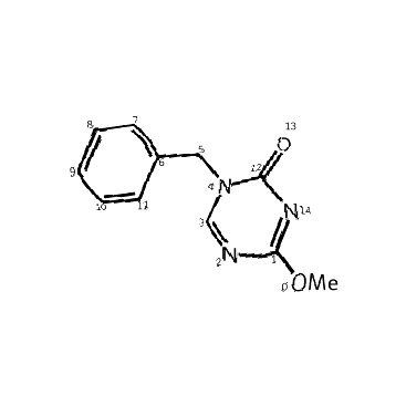 COc1ncn(Cc2ccccc2)c(=O)n1